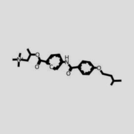 CC(C)CCOc1ccc(C(=O)Nc2ccc(C(=O)OC(C)C[N+](C)(C)C)cc2)cc1